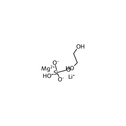 OCCO.[Li+].[Mg+2].[O-][Si]([O-])([O-])O